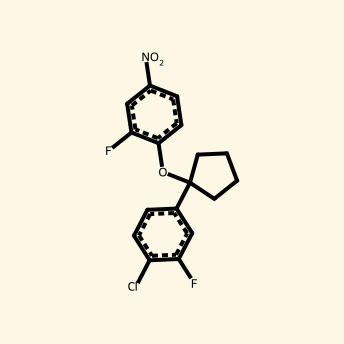 O=[N+]([O-])c1ccc(OC2(c3ccc(Cl)c(F)c3)CCCC2)c(F)c1